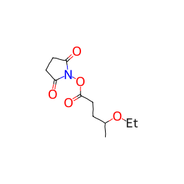 CCOC(C)CCC(=O)ON1C(=O)CCC1=O